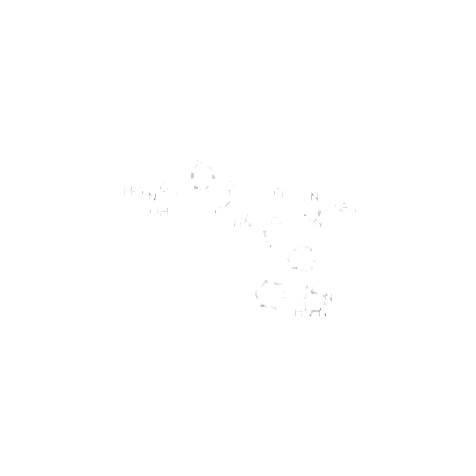 CCCCc1nc(Cl)c(COC(=O)NCC(=O)Oc2cccc(CON(O)O)c2)n1Cc1ccc(-c2ccccc2-c2nnn[nH]2)cc1